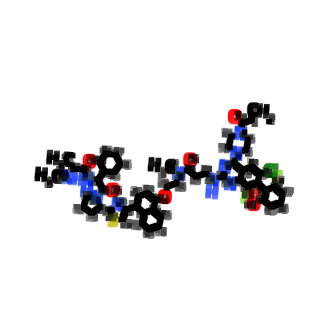 C=CC(=O)N1CCN(c2nc(NCCC(=O)N(C)CCOc3ccc(-c4csc([C@@H]5CCCN5C(=O)[C@@H](NC(=O)[C@H](C)NC)C5CCCCC5)n4)c4ccccc34)nc3c(F)c(-c4c(O)cccc4F)c(Cl)cc23)CC1